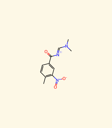 Cc1ccc(C(=O)/N=C/N(C)C)cc1[N+](=O)[O-]